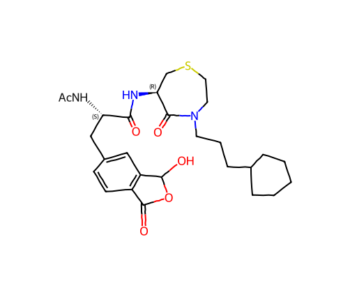 CC(=O)N[C@@H](Cc1ccc2c(c1)C(O)OC2=O)C(=O)N[C@H]1CSCCN(CCCC2CCCCC2)C1=O